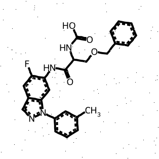 Cc1cccc(-n2ncc3cc(F)c(NC(=O)C(COCc4ccccc4)NC(=O)O)cc32)c1